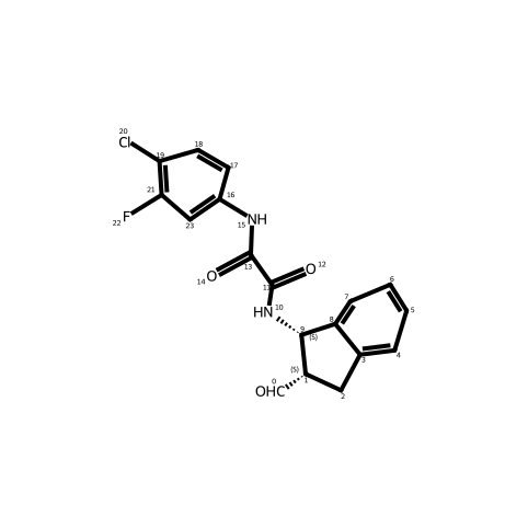 O=C[C@H]1Cc2ccccc2[C@H]1NC(=O)C(=O)Nc1ccc(Cl)c(F)c1